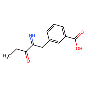 CCC(=O)C(=N)Cc1cccc(C(=O)O)c1